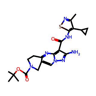 Cc1nsc(NC(=O)c2c(N)nn3cc4c(nc23)CCN(C(=O)OC(C)(C)C)C4)c1C1CC1